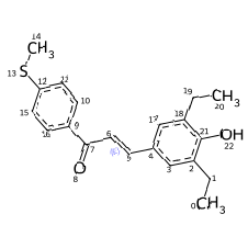 CCc1cc(/C=C/C(=O)c2ccc(SC)cc2)cc(CC)c1O